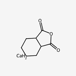 O=C1OC(=O)C2CCCCC12.[CaH2]